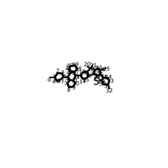 Cc1ccc(-c2c3ccccc3c(-c3ccc4c(c3)C(C)(C)c3cc(C)c5c(sc6cc(C)ccc65)c3-4)c3ccccc23)cc1